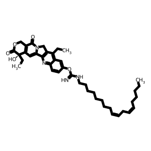 CCCCC/C=C\C/C=C\CCCCCCCCNC(=N)Oc1ccc2nc3c(c(CC)c2c1)Cn1c-3cc2c(c1=O)COC(=O)[C@]2(O)CC